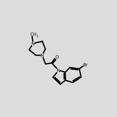 CN1CCN(CC(=O)n2ccc3ccc(Br)cc32)CC1